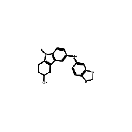 Cn1c2c(c3cc(Nc4ccc5c(c4)OCO5)ccc31)CC(O)CC2